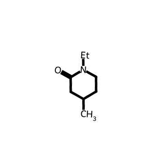 CCN1CCC(C)CC1=O